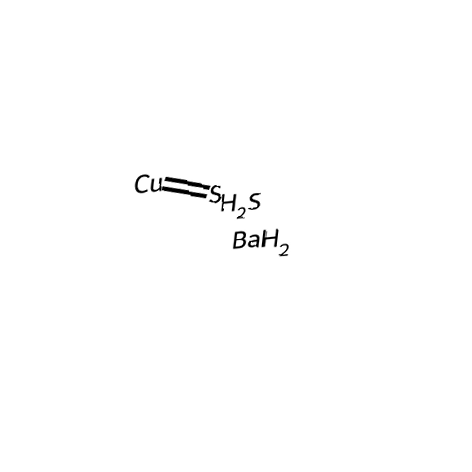 S.[BaH2].[S]=[Cu]